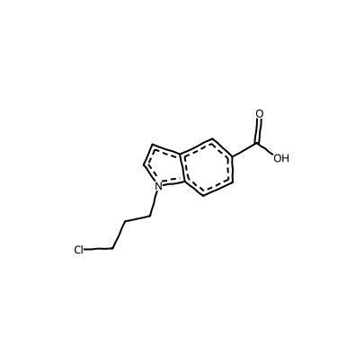 O=C(O)c1ccc2c(ccn2CCCCl)c1